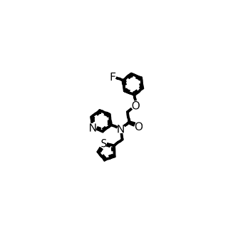 O=C(COc1cccc(F)c1)N(Cc1cccs1)c1cccnc1